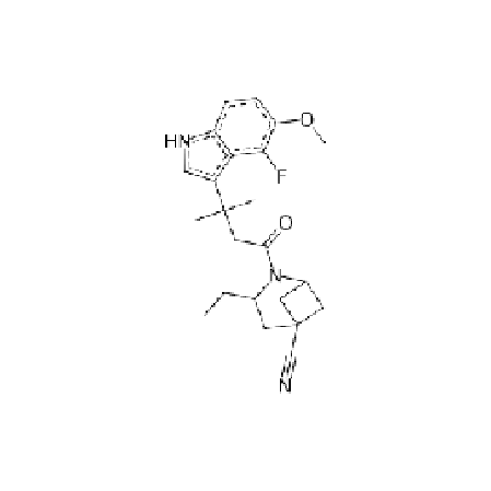 CCC1CC2(C#N)CC(C2)N1C(=O)CC(C)(C)c1c[nH]c2ccc(OC)c(F)c12